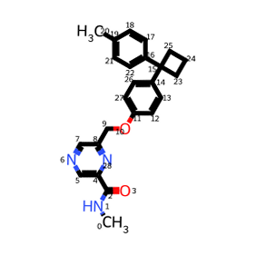 CNC(=O)c1cncc(COc2ccc(C3(c4ccc(C)cc4)CCC3)cc2)n1